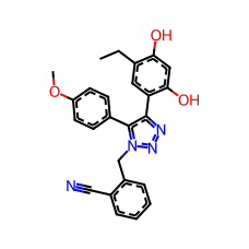 CCc1cc(-c2nnn(Cc3ccccc3C#N)c2-c2ccc(OC)cc2)c(O)cc1O